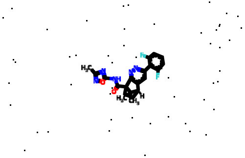 Cc1noc(NC(=O)C23CC[C@H](c4cc(-c5c(F)cccc5F)nnc42)C3(C)C)n1